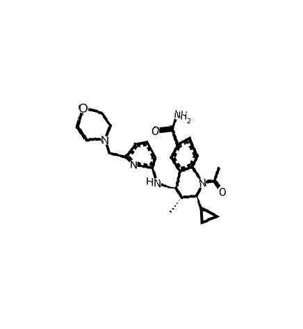 CC(=O)N1c2ccc(C(N)=O)cc2[C@H](Nc2cccc(CN3CCOCC3)n2)[C@@H](C)[C@@H]1C1CC1